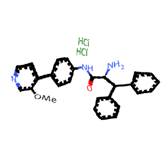 COc1cnccc1-c1ccc(NC(=O)[C@@H](N)C(c2ccccc2)c2ccccc2)cc1.Cl.Cl